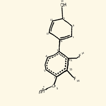 CCCOc1ccc(C2=CCC(O)C=C2)c(F)c1F